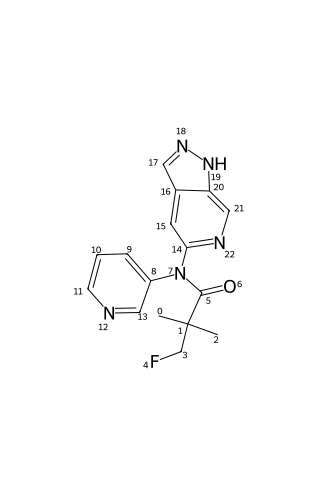 CC(C)(CF)C(=O)N(c1cccnc1)c1cc2cn[nH]c2cn1